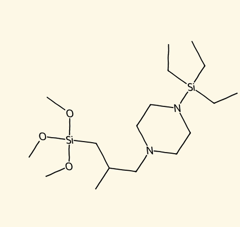 CC[Si](CC)(CC)N1CCN(CC(C)C[Si](OC)(OC)OC)CC1